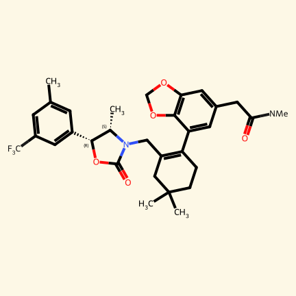 CNC(=O)Cc1cc2c(c(C3=C(CN4C(=O)O[C@H](c5cc(C)cc(C(F)(F)F)c5)[C@@H]4C)CC(C)(C)CC3)c1)OCO2